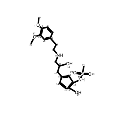 COc1ccc(CCNCC(O)Cc2ccc(O)c(NS(C)(=O)=O)c2)cc1OC